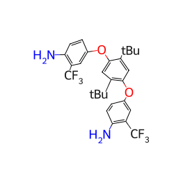 CC(C)(C)c1cc(Oc2ccc(N)c(C(F)(F)F)c2)c(C(C)(C)C)cc1Oc1ccc(N)c(C(F)(F)F)c1